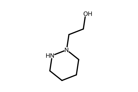 OCCN1CCCCN1